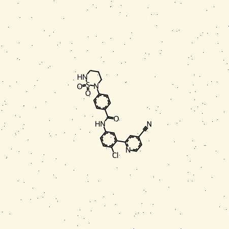 N#Cc1ccnc(-c2cc(NC(=O)c3ccc(N4CCCNS4(=O)=O)cc3)ccc2Cl)c1